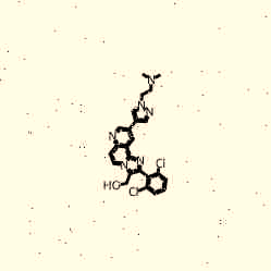 CN(C)CCn1cc(-c2cnc3ccn4c(CO)c(-c5c(Cl)cccc5Cl)nc4c3c2)cn1